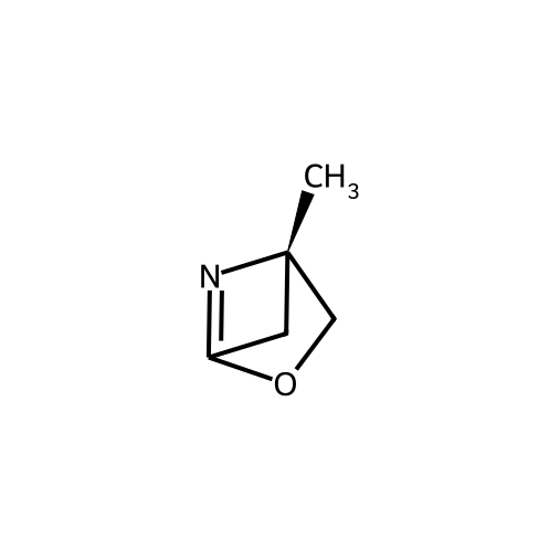 C[C@]12COC(=N1)C2